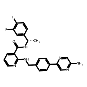 C[C@H](NC(=O)c1cccnc1NCc1ccc(-c2cnc(N)cn2)cc1)c1ccc(F)c(F)c1